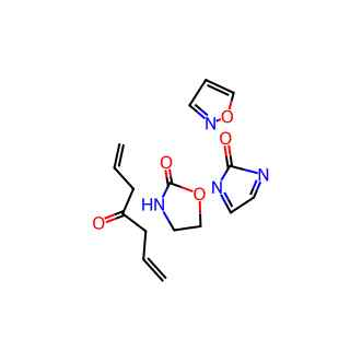 C=CCC(=O)CC=C.O=C1N=CC=N1.O=C1NCCO1.c1cnoc1